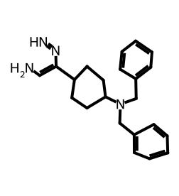 N=N/C(=C\N)C1CCC(N(Cc2ccccc2)Cc2ccccc2)CC1